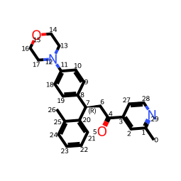 Cc1cc(C(=O)C[C@H](c2ccc(N3CCOCC3)cc2)c2ccccc2C)ccn1